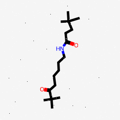 CC(C)(C)CCC(=O)NCCCCCC(=O)C(C)(C)C